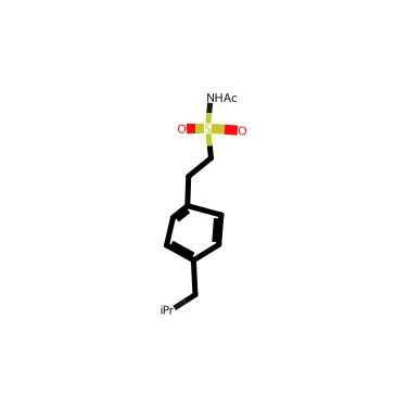 CC(=O)NS(=O)(=O)CCc1ccc(CC(C)C)cc1